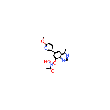 COc1ccc(-c2cc(ON(O)C(C)=O)c3ncnc(C)c3c2)cn1